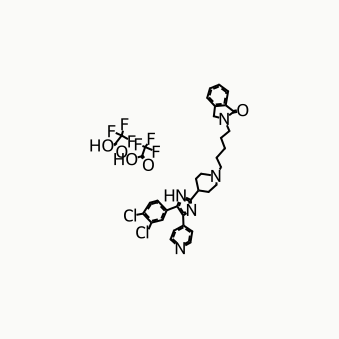 O=C(O)C(F)(F)F.O=C(O)C(F)(F)F.O=C1c2ccccc2CN1CCCCCN1CCC(c2nc(-c3ccncc3)c(-c3ccc(Cl)c(Cl)c3)[nH]2)CC1